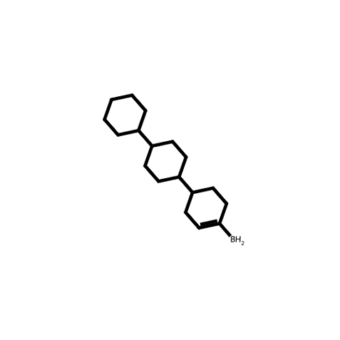 BC1=CCC(C2CCC(C3CCCCC3)CC2)CC1